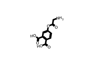 NCC(=O)Oc1ccc(C(=O)O)c(C(=O)O)c1